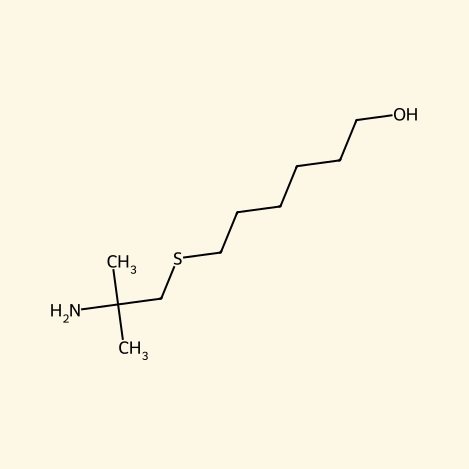 CC(C)(N)CSCCCCCCO